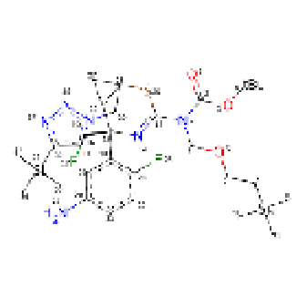 CC(C)(C)OC(=O)N(COCC[Si](C)(C)C)C1=N[C@](CF)(c2cc(N)ccc2F)C2CC2(Cn2cc([Si](C)(C)C)nn2)S1